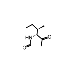 CC[C@@H](C)[C@@H](NC=O)C(C)=O